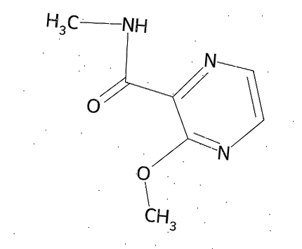 CNC(=O)c1nccnc1OC